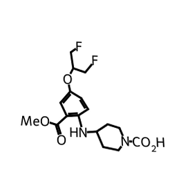 COC(=O)c1cc(OC(CF)CF)ccc1NC1CCN(C(=O)O)CC1